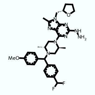 COc1ccc(C(c2ccc(C(F)F)cc2)N2C[C@H](C)N(c3nc(NN)nc4c3nc(C)n4C[C@@H]3CCCO3)C[C@H]2C)cc1